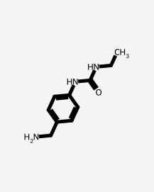 CCNC(=O)Nc1ccc(CN)cc1